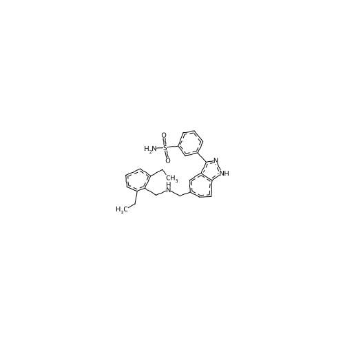 CCc1cccc(CC)c1CNCc1ccc2[nH]nc(-c3cccc(S(N)(=O)=O)c3)c2c1